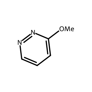 COc1cccnn1